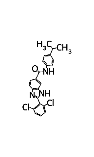 CC(C)c1ccc(NC(=O)c2ccc3nc(-c4c(Cl)cccc4Cl)[nH]c3c2)cc1